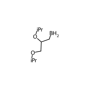 BCC(COC(C)C)OC(C)C